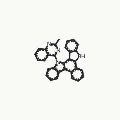 Cc1nc(-n2c3ccccc3c3c4ccccc4c4c(c32)-c2ccccc2B4)c2ccccc2n1